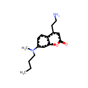 CCCCN(C)c1ccc2c(CCN)cc(=O)oc2c1